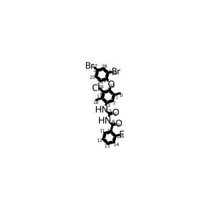 Cc1cc(NC(=O)NC(=O)c2ccccc2F)c(C)c(Cl)c1Oc1ccc(Br)cc1Br